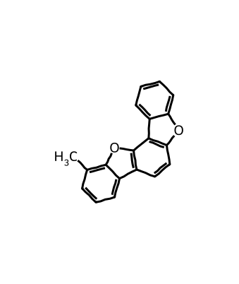 Cc1cccc2c1oc1c2ccc2oc3ccccc3c21